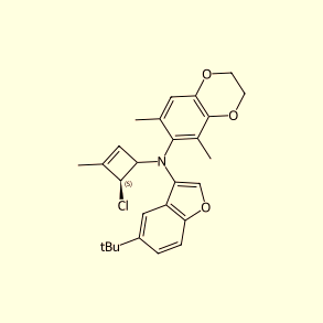 CC1=CC(N(c2c(C)cc3c(c2C)OCCO3)c2coc3ccc(C(C)(C)C)cc23)[C@H]1Cl